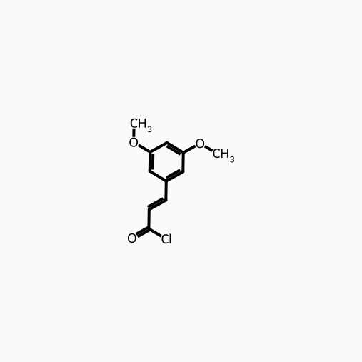 COc1cc(C=CC(=O)Cl)cc(OC)c1